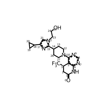 O=C1C[C@@H](C(F)(F)F)c2c(ncnc2N2CCC(c3nc(C4CC4)cn3CCO)CC2)N1